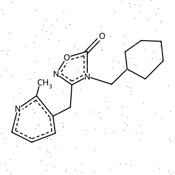 Cc1ncccc1Cc1noc(=O)n1CC1CCCCC1